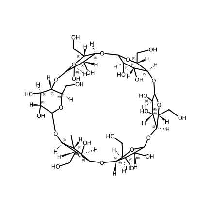 C[C@H]1[C@@H]2OC3O[C@H](CO)[C@@H](OC4O[C@H](CO)[C@@H](OC5O[C@H](CO)[C@@H](OC6O[C@H](CO)[C@@H](OC7O[C@H](CO)[C@@H](OC(O[C@@H]2CO)[C@@H]1O)[C@H](O)[C@H]7O)[C@H](O)[C@H]6O)[C@H](O)[C@H]5O)[C@H](O)[C@H]4O)[C@H](O)[C@H]3O